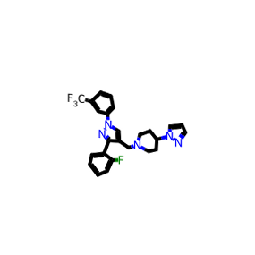 Fc1ccccc1-c1nn(-c2cccc(C(F)(F)F)c2)cc1CN1CCC(n2cccn2)CC1